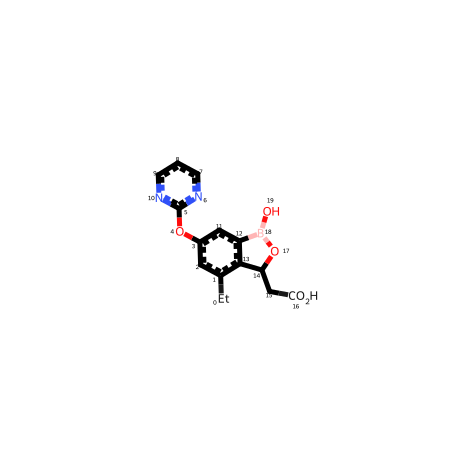 CCc1cc(Oc2ncccn2)cc2c1C(CC(=O)O)OB2O